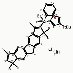 Cl.Cl.[CH2]=[Zr]([CH2]C)([C]1=CC(C(C)(C)C)=CC1)([C]1=C(C)c2cc3c(cc2C1(C)C)Cc1cc2c(cc1-3)C(C)=CC2(C)C)[c]1ccccc1